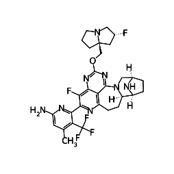 Cc1cc(N)nc(-c2nc3c4c(nc(OC[C@@]56CCCN5C[C@H](F)C6)nc4c2F)N2C[C@H]4CC[C@H](N4)[C@H]2CC3)c1C(F)(F)F